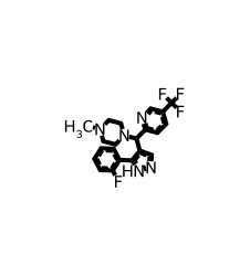 CN1CCN(C(c2ccc(C(F)(F)F)cn2)c2cn[nH]c2-c2ccccc2F)CC1